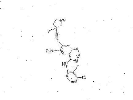 O=[N+]([O-])c1cc2c(Nc3cccc(Cl)c3F)ncnc2cc1C#CC1(F)CCNC1